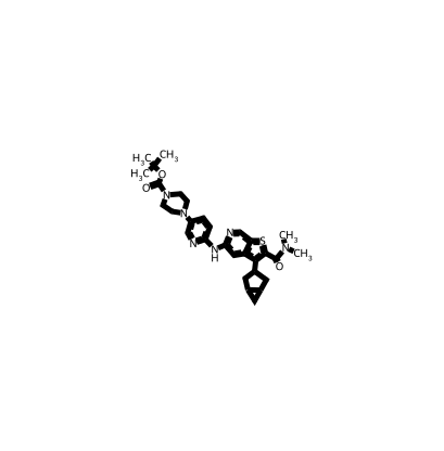 CN(C)C(=O)c1sc2cnc(Nc3ccc(N4CCN(C(=O)OC(C)(C)C)CC4)cn3)cc2c1C1CC2CC2C1